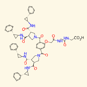 O=C(O)CNC(=O)CNC(=O)COc1cc(C(=O)N2C[C@@H](C(=O)N[C@H]3C[C@@H]3c3ccccc3)[C@H](C(=O)N[C@H]3C[C@@H]3c3ccccc3)C2)ccc1C(=O)N1C[C@@H](C(=O)N[C@H]2C[C@@H]2c2ccccc2)[C@H](C(=O)N[C@H]2C[C@@H]2c2ccccc2)C1